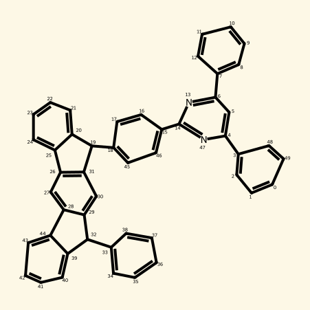 c1ccc(-c2cc(-c3ccccc3)nc(-c3ccc(C4c5ccccc5-c5cc6c(cc54)C(c4ccccc4)c4ccccc4-6)cc3)n2)cc1